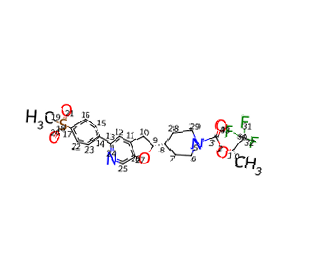 C[C@H](OC(=O)N1CCC([C@H]2Cc3cc(-c4ccc(S(C)(=O)=O)cc4)ncc3O2)CC1)C(F)(F)F